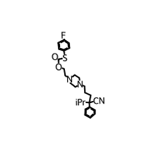 CC(C)C(C#N)(CCCN1CCN(CCOC(=O)Sc2ccc(F)cc2)CC1)c1ccccc1